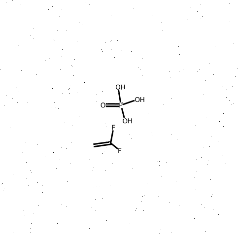 C=C(F)F.O=P(O)(O)O